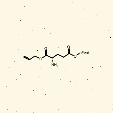 C=CCOC(=O)[C@@H](N)CCC(=O)OCCCCC